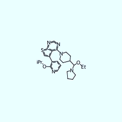 CCOC(C1CCN(c2ncnc3scc(-c4cccnc4OC(C)C)c23)CC1)N1CCCC1